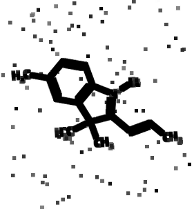 C/C=C/C1=[N+](CC)c2ccc(C)cc2C1(C)C